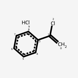 C=C(Cl)c1ccccc1.Cl